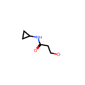 [O]CCC(=O)NC1CC1